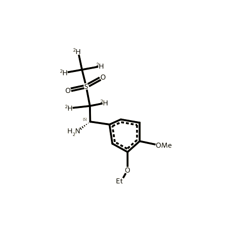 [2H]C([2H])([2H])S(=O)(=O)C([2H])([2H])[C@@H](N)c1ccc(OC)c(OCC)c1